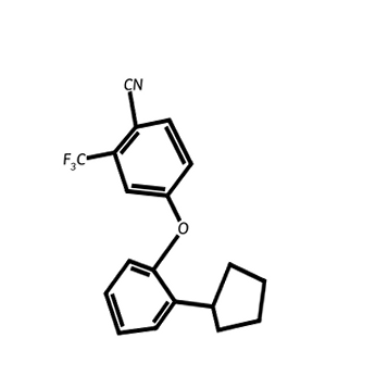 N#Cc1ccc(Oc2ccccc2C2CCCC2)cc1C(F)(F)F